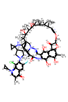 CO[C@H]1/C=C/O[C@@]2(C)Oc3c(C)c(O)c4c(O)c(c(/C=N/N5CCC(NC6(C7CCN(c8c(F)cc9c(=O)c(C)cn(C%10CC%10)c9c8Cl)C7)CC6)CC5)c(O)c4c3C2=O)NC(=O)/C(C)=C\C=C\[C@H](C)[C@H](O)[C@@H](C)[C@@H](O)[C@@H](C)[C@H](OC(C)=O)[C@@H]1C